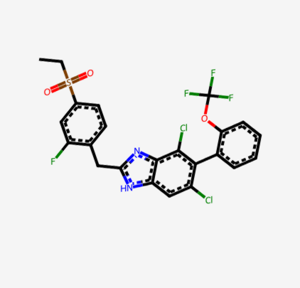 CCS(=O)(=O)c1ccc(Cc2nc3c(Cl)c(-c4ccccc4OC(F)(F)F)c(Cl)cc3[nH]2)c(F)c1